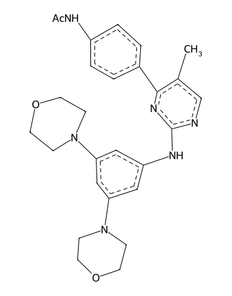 CC(=O)Nc1ccc(-c2nc(Nc3cc(N4CCOCC4)cc(N4CCOCC4)c3)ncc2C)cc1